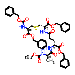 C[C@H](NC(=O)OC(C)(C)C)C(=O)N[C@H](CCC(=O)N[C@H](CSC[C@H](NC(=O)OCc1ccccc1)C(=O)OCc1ccccc1)C(=O)OCc1ccccc1)C(=O)OCc1ccccc1